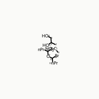 CC(=O)O.CC(O)CO.CCCC(Br)OC(Br)CCC